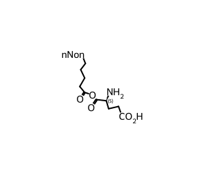 CCCCCCCCCCCCCC(=O)OC(=O)[C@@H](N)CCC(=O)O